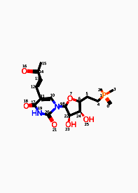 C=P(C)(C)CCC1OC(n2cc(/C=C/C(C)=O)c(=O)[nH]c2=O)[C@H](O)[C@@H]1O